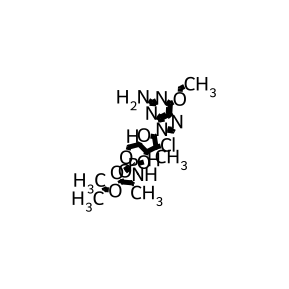 CCOc1nc(N)nc2c1ncn2[C@@H]1O[C@@H]2CO[P@@](=O)(N[C@H](C)C(=O)OC(C)C)O[C@H]2[C@@]1(C)Cl